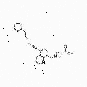 O=C(O)C1CN(Cc2ccc(C#CCCCCc3ccccc3)c3cccnc23)C1